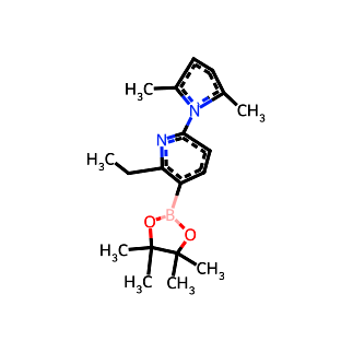 CCc1nc(-n2c(C)ccc2C)ccc1B1OC(C)(C)C(C)(C)O1